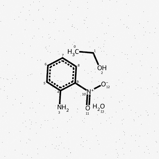 CCO.Nc1ccccc1[N+](=O)[O-].O